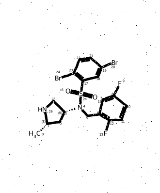 C[C@H]1C[C@@H](N(Cc2cc(F)ccc2F)S(=O)(=O)c2cc(Br)ccc2Br)CN1